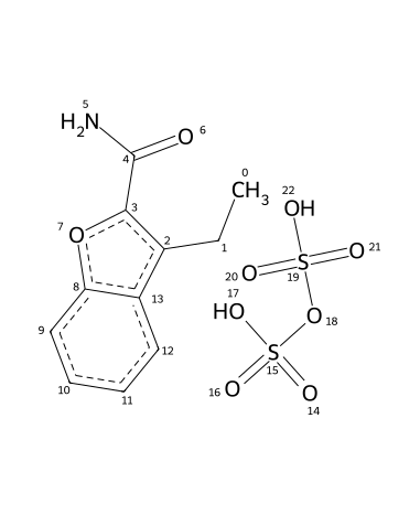 CCc1c(C(N)=O)oc2ccccc12.O=S(=O)(O)OS(=O)(=O)O